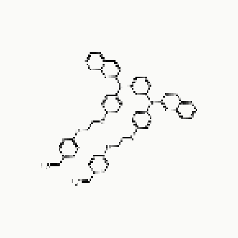 C=Cc1ccc(OCCOc2ccc(N(c3cccc(N(c4ccc(OCCOc5ccc(C=C)cc5)cc4)c4ccc5ccccc5c4)c3)c3ccc4ccccc4c3)cc2)cc1